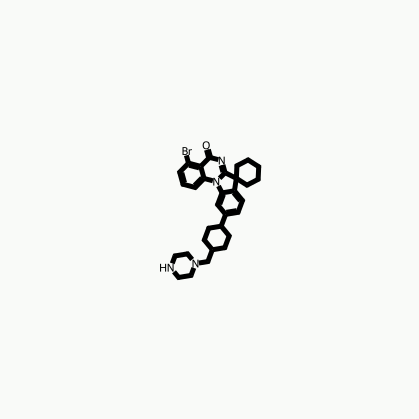 O=c1nc2n(c3cccc(Br)c13)-c1cc(C3CCC(CN4CCNCC4)CC3)ccc1C21CCCCC1